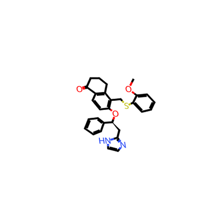 COc1ccccc1SCc1c(O[C@@H](Cc2ncc[nH]2)c2ccccc2)ccc2c1CCCC2=O